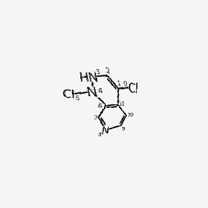 ClC1=CNN(Cl)c2cnccc21